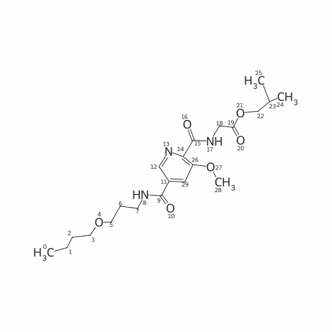 CCCCOCCCNC(=O)c1cnc(C(=O)NCC(=O)OCC(C)C)c(OC)c1